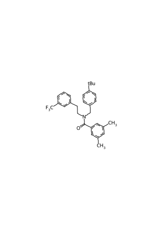 Cc1cc(C)cc(C(=O)N(CCc2cccc(C(F)(F)F)c2)Cc2ccc(C(C)(C)C)cc2)c1